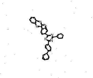 c1ccc(-c2ccc(-c3nc(-c4ccccc4)nc(-c4ccc5c(c4)sc4nc6ccccc6nc45)n3)cc2)cc1